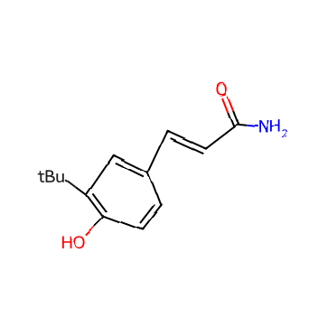 CC(C)(C)c1cc(C=CC(N)=O)ccc1O